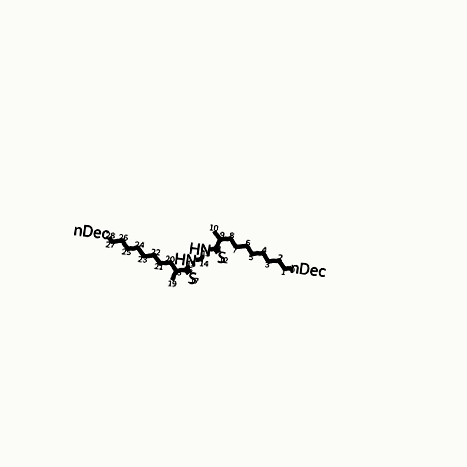 CCCCCCCCCCCCCCCCCCC(C)C(=S)NCNC(=S)C(C)CCCCCCCCCCCCCCCCCC